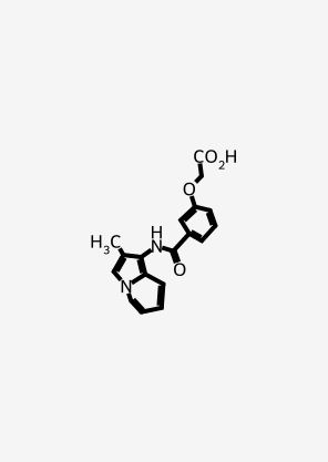 Cc1cn2ccccc2c1NC(=O)c1cccc(OCC(=O)O)c1